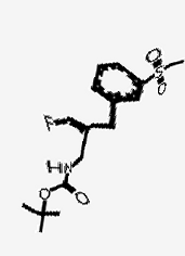 CC(C)(C)OC(=O)NCC(=CF)Cc1cccc(S(C)(=O)=O)c1